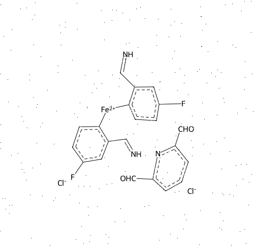 N=Cc1cc(F)cc[c]1[Fe+2][c]1ccc(F)cc1C=N.O=Cc1cccc(C=O)n1.[Cl-].[Cl-]